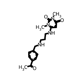 CC(=O)c1ccc(CNCCCNc2cc(=O)n(C)c(=O)n2C)cc1